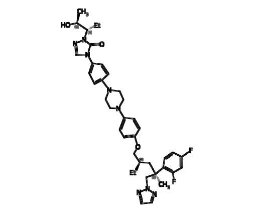 CC[C@@H](COc1ccc(N2CCN(c3ccc(-n4cnn([C@@H](CC)[C@H](C)O)c4=O)cc3)CC2)cc1)C[C@](C)(Cn1nccn1)c1ccc(F)cc1F